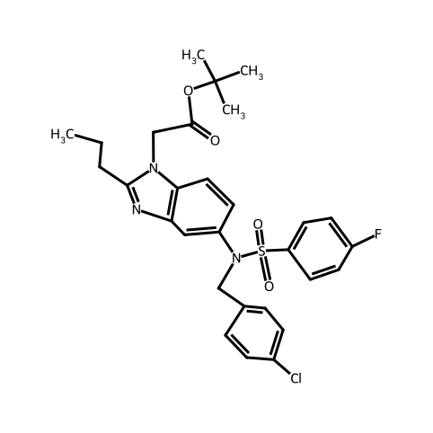 CCCc1nc2cc(N(Cc3ccc(Cl)cc3)S(=O)(=O)c3ccc(F)cc3)ccc2n1CC(=O)OC(C)(C)C